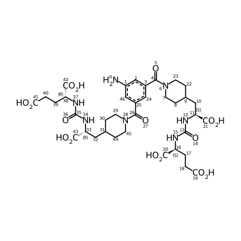 Nc1cc(C(=O)N2CCC(C[C@H](NC(=O)N[C@@H](CCC(=O)O)C(=O)O)C(=O)O)CC2)cc(C(=O)N2CCC(C[C@@H](NC(=O)N[C@H](CCC(=O)O)C(=O)O)C(=O)O)CC2)c1